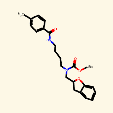 Cc1ccc(C(=O)NCCCCN(CC2Cc3ccccc3O2)C(=O)OC(C)(C)C)cc1